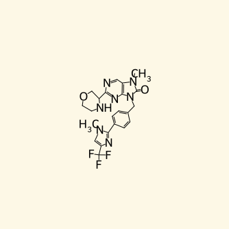 Cn1cc(C(F)(F)F)nc1-c1ccc(Cn2c(=O)n(C)c3cnc(C4COCCN4)nc32)cc1